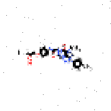 C[C@H](O)CO[C@H]1CC[C@H](NC(=O)Cn2cnc3c(Nc4ccc(C(F)(F)F)cc4)nn(C)c3c2=O)CC1